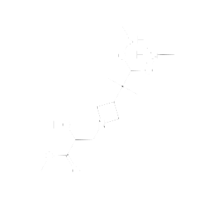 COC(=O)C(O)CN1CC(C(C)(C)C(O[SiH2]C)O[SiH2]C)C1